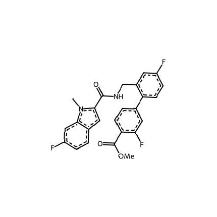 COC(=O)c1ccc(-c2ccc(F)cc2CNC(=O)c2cc3ccc(F)cc3n2C)cc1F